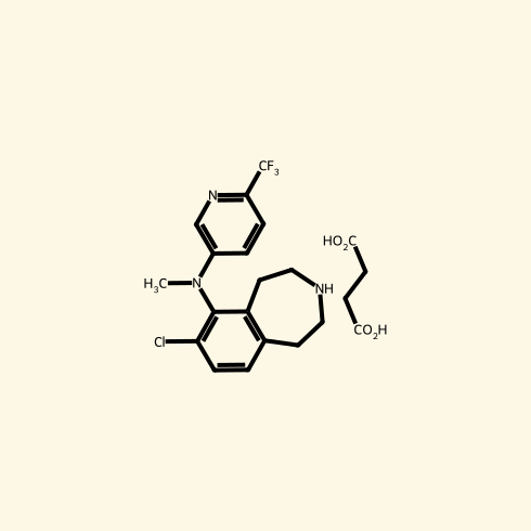 CN(c1ccc(C(F)(F)F)nc1)c1c(Cl)ccc2c1CCNCC2.O=C(O)CCC(=O)O